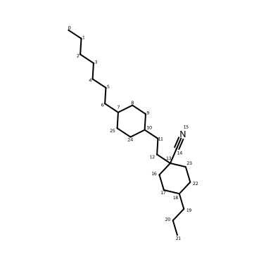 CCCCCCCC1CCC(CCC2(C#N)CCC(CCC)CC2)CC1